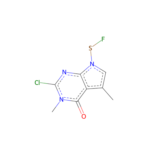 Cc1cn(SF)c2nc(Cl)n(C)c(=O)c12